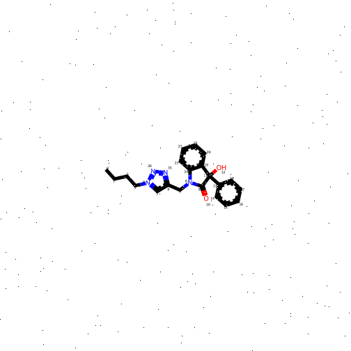 CCCCn1cc(CN2C(=O)C(O)(c3ccccc3)c3ccccc32)nn1